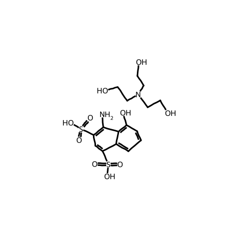 Nc1c(S(=O)(=O)O)cc(S(=O)(=O)O)c2cccc(O)c12.OCCN(CCO)CCO